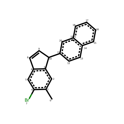 Cc1cc2c(cc1Br)C=CC2c1ccc2ccccc2c1